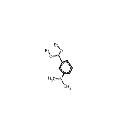 CCOB(OCC)c1cccc(N(C)C)c1